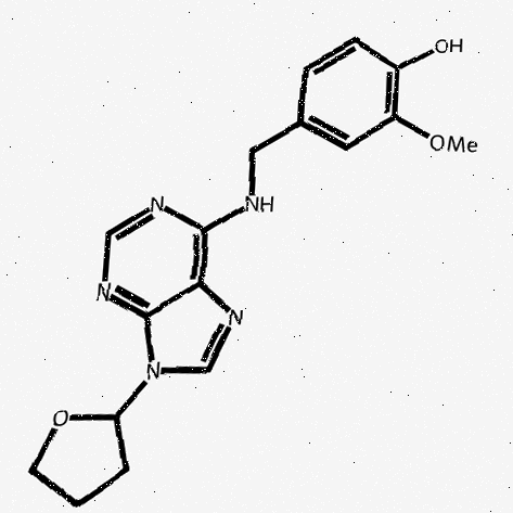 COc1cc(CNc2ncnc3c2ncn3C2CCCO2)ccc1O